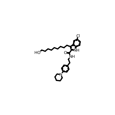 O=C(NCCc1ccc(N2CCCCC2)cc1)c1[nH]c2ccc(Cl)cc2c1CCCCCCCCCO